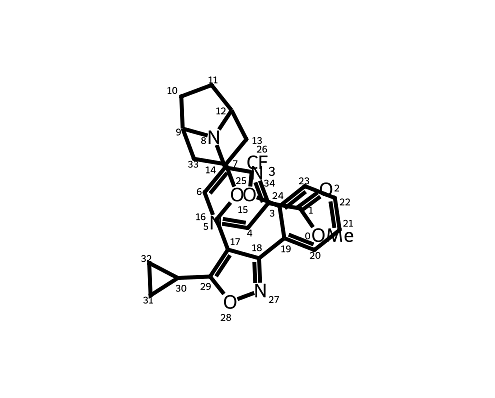 COC(=O)c1cncc(N2C3CCC2CC(OCc2c(-c4ccccc4OC(F)(F)F)noc2C2CC2)C3)n1